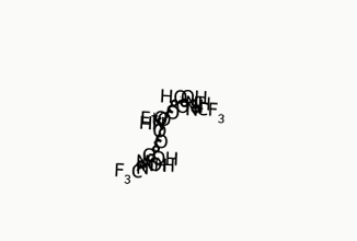 CCC(=O)NC(COCCC(=O)CC1CCC([C@H]2OC[C@H](Nc3nccc(C(F)(F)F)n3)[C@@H](O)[C@H]2O)C1)COCCC(=O)CC1CCC([C@H]2OC[C@H](Nc3nccc(C(F)(F)F)n3)[C@@H](O)[C@H]2O)C1